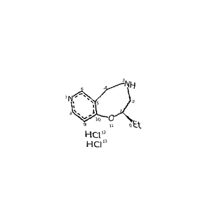 CC[C@@H]1CNCc2cnccc2O1.Cl.Cl